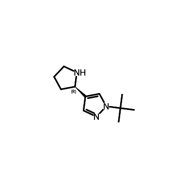 CC(C)(C)n1cc([C@H]2CCCN2)cn1